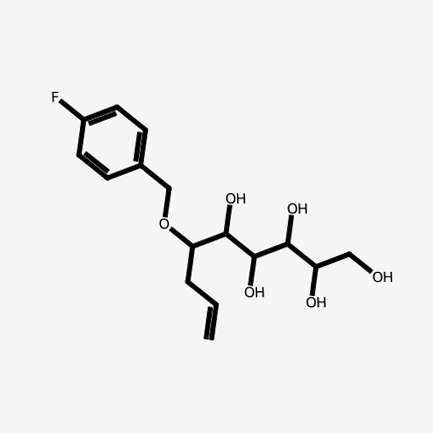 C=CCC(OCc1ccc(F)cc1)C(O)C(O)C(O)C(O)CO